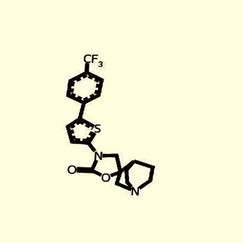 O=C1OC2(CN3CCC2CC3)CN1c1ccc(-c2ccc(C(F)(F)F)cc2)s1